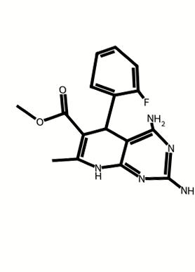 COC(=O)C1=C(C)Nc2nc(N)nc(N)c2C1c1ccccc1F